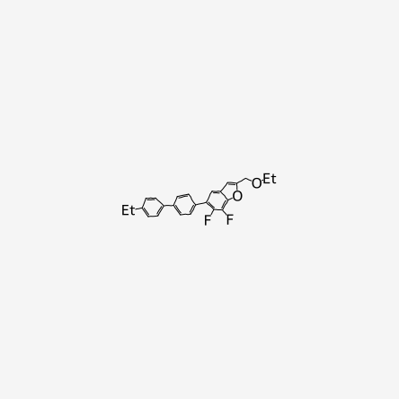 CCOCc1cc2cc(-c3ccc(-c4ccc(CC)cc4)cc3)c(F)c(F)c2o1